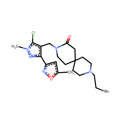 Cc1cc(-c2nn(C)c(Cl)c2CN2CCC3(CCN(CCC(C)(C)C)CC3)CC2=O)no1